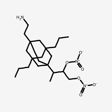 CCCC12CC3(CCC)CC(CCN)(C1)CC(C(C)C(CO[N+](=O)[O-])O[N+](=O)[O-])(C2)C3